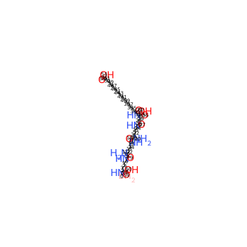 BN[C@@H](CCCCNC(=O)[C@@H](N)CCCCNC(=O)[C@@H](N)CCCCNC(=O)CC[C@H](NC(=O)CCCCCCCCCCCCCCCCCCC(=O)O)C(=O)O)C(=O)O